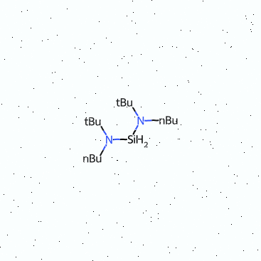 CCCCN([SiH2]N(CCCC)C(C)(C)C)C(C)(C)C